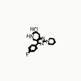 Cl.Fc1ccc(-c2nc(N3CCCCC3)nc3c2CNCCC3)cc1